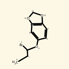 CCC(Br)Oc1ccc2c(c1)OCO2